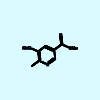 COC(=O)c1cnc(C)c(OC)c1